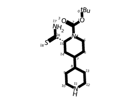 CC(C)(C)OC(=O)N1CCC(C2CCNCC2)C[C@@H]1C(N)=S